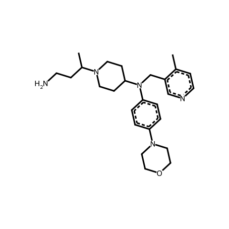 Cc1ccncc1CN(c1ccc(N2CCOCC2)cc1)C1CCN(C(C)CCN)CC1